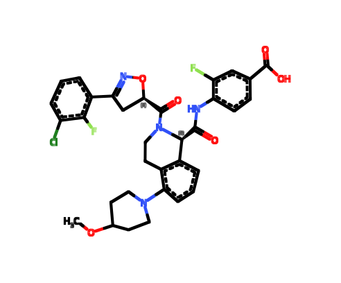 COC1CCN(c2cccc3c2CCN(C(=O)[C@H]2CC(c4cccc(Cl)c4F)=NO2)[C@H]3C(=O)Nc2ccc(C(=O)O)cc2F)CC1